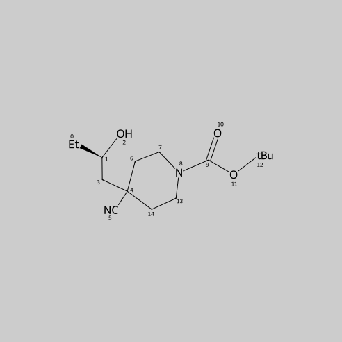 CC[C@@H](O)CC1(C#N)CCN(C(=O)OC(C)(C)C)CC1